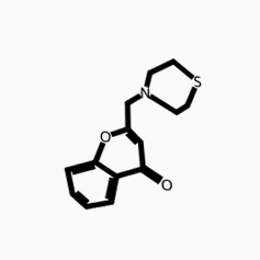 O=c1cc(CN2CCSCC2)oc2ccccc12